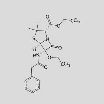 CC1(C)S[C@H]2N(C(=O)[C@@]2(NC(=O)Cc2ccccc2)OCC(Cl)(Cl)Cl)[C@H]1C(=O)OCC(Cl)(Cl)Cl